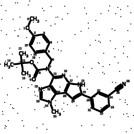 COc1ccc(CN(C(=O)OC(C)(C)C)c2nc3[nH]c(-c4cccc(C#N)c4)cc3c3c2ncn3C)cc1